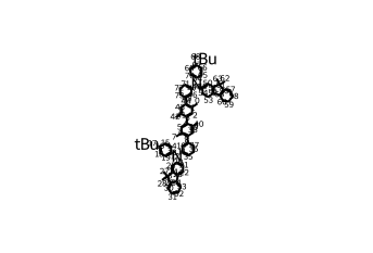 Cc1cc(-c2cc(C)c(C3=CC(N(c4ccc(C(C)(C)C)cc4)c4ccc5c(c4)C(C)(C)c4ccccc4-5)=CCC3)cc2C)c(C)cc1C1=CC(N(C2=CC3=C(CC2)C2=C(C=CCC2)C3(C)C)c2ccc(C(C)(C)C)cc2)=CCC1